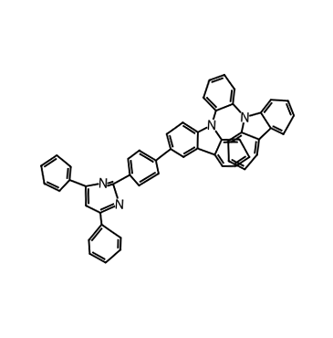 c1ccc(-c2cc(-c3ccccc3)nc(-c3ccc(-c4ccc5c(c4)c4ccccc4n5-c4ccccc4-n4c5ccccc5c5ccccc54)cc3)n2)cc1